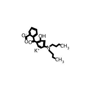 CCCCN(CCCC)c1ccc(C(=O)c2ccccc2C(=O)[O-])c(O)c1.[K+]